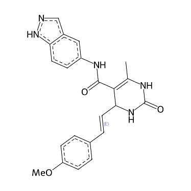 COc1ccc(/C=C/C2NC(=O)NC(C)=C2C(=O)Nc2ccc3[nH]ncc3c2)cc1